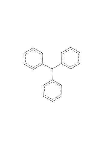 c1cc[c]([Y]([c]2ccccc2)[c]2ccccc2)cc1